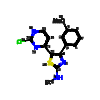 CCNc1nc(-c2cccc(OC)c2)c(-c2ccnc(Cl)n2)s1